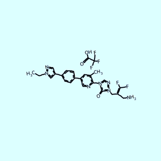 CCn1cc(-c2ccc(-c3cnc(-n4cnn(CC(CN)=C(F)F)c4=O)c(C)c3)cc2)cn1.O=C(O)C(F)(F)F